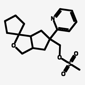 CS(=O)(=O)OCC1(c2ccccn2)CC2COC3(CCCC3)C2C1